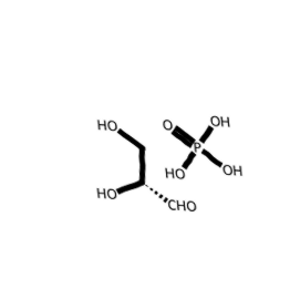 O=C[C@H](O)CO.O=P(O)(O)O